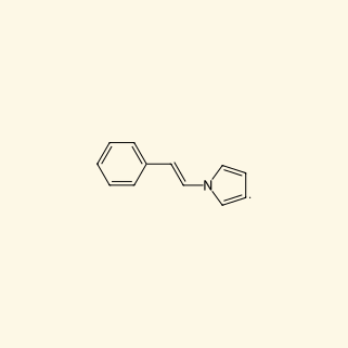 [c]1ccn(C=Cc2ccccc2)c1